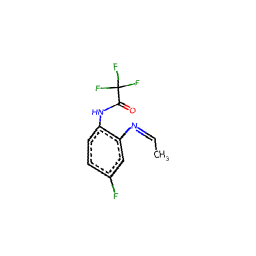 C/C=N\c1cc(F)ccc1NC(=O)C(F)(F)F